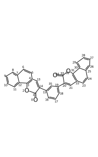 O=c1oc2c(ccc3ccccc32)cc1-c1cccc(-c2cc3ccc4ccccc4c3oc2=O)c1